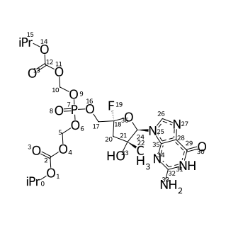 CC(C)OC(=O)OCOP(=O)(OCOC(=O)OC(C)C)OC[C@]1(F)C[C@@](C)(O)[C@H](n2cnc3c(=O)[nH]c(N)nc32)O1